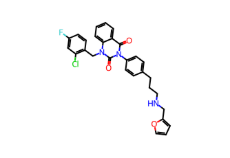 O=c1c2ccccc2n(Cc2ccc(F)cc2Cl)c(=O)n1-c1ccc(CCCNCc2ccco2)cc1